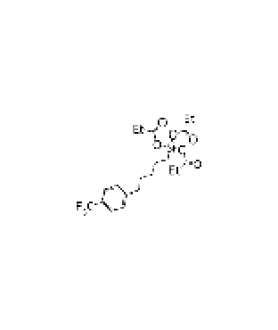 CCC(=O)O[Si](CCCCCc1ccc(C(F)(F)F)cc1)(OC(=O)CC)OC(=O)CC